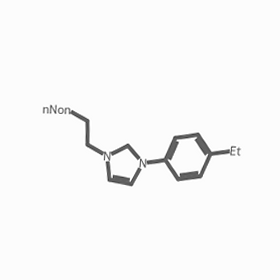 CCCCCCCCCCCN1C=CN(c2ccc(CC)cc2)C1